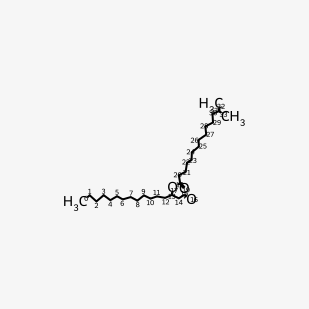 CCCCCCCCCCCCCC(C[C]=O)OC(=O)CCCCCCCCCCCC(C)C